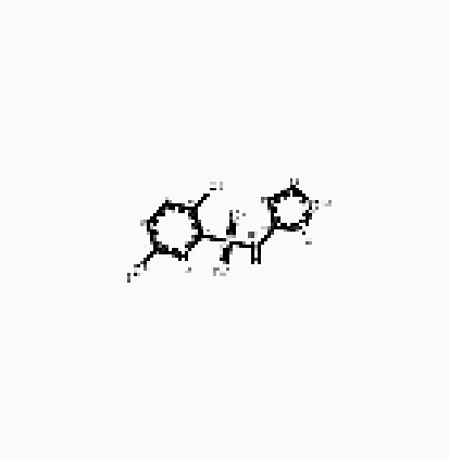 Cc1ccc(F)c(S(=O)(=O)Nc2ccon2)n1